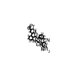 CC(C)Oc1cncc(-c2cccc3nc(C(C)Nc4nc(N)ncc4C#N)n(-c4ccccc4)c(=O)c23)c1